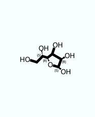 OC[C@H](O)[C@H]1O[C@H](O)[C@H](O)C1O